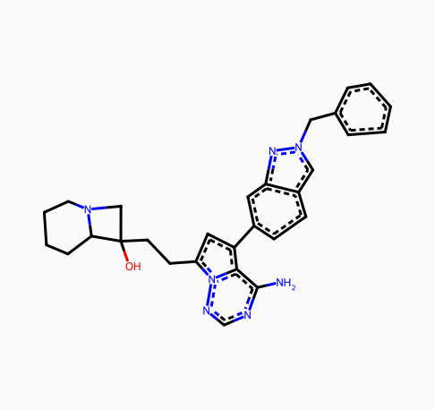 Nc1ncnn2c(CCC3(O)CN4CCCCC43)cc(-c3ccc4cn(Cc5ccccc5)nc4c3)c12